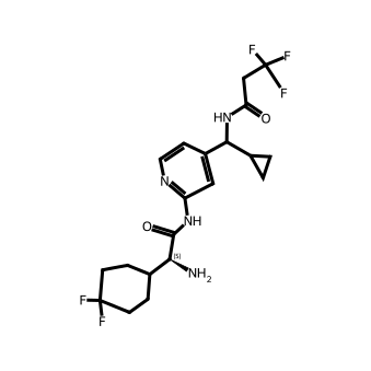 N[C@H](C(=O)Nc1cc(C(NC(=O)CC(F)(F)F)C2CC2)ccn1)C1CCC(F)(F)CC1